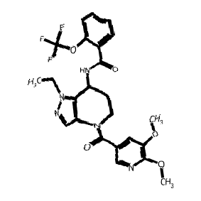 CCn1ncc2c1C(NC(=O)c1ccccc1OC(F)(F)F)CCN2C(=O)c1cnc(OC)c(OC)c1